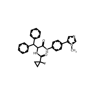 Cn1cncc1-c1ccc(NC(=O)C(NC(=O)C2(F)CC2)C(c2ccccc2)c2ccccc2)cc1